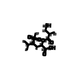 CC(C)N(CC(OC(=O)[C@H](C)CS)C(=O)O)S(C)(=O)=O